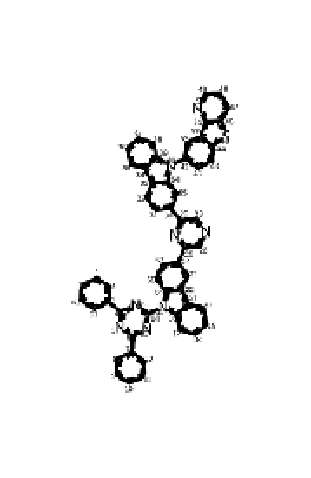 c1ccc(-c2nc(-c3ccccc3)nc(-n3c4ccccc4c4cc(-c5cncc(-c6ccc7c8ccccc8n(-c8ccc9sc%10cccnc%10c9c8)c7c6)n5)ccc43)n2)cc1